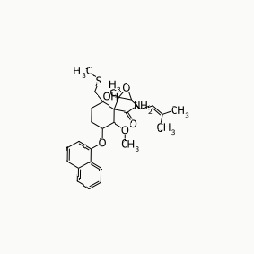 COC1C(Oc2cccc3ccccc23)CCC(O)(CSC)C1(C(N)=O)C1(C)OC1CC=C(C)C